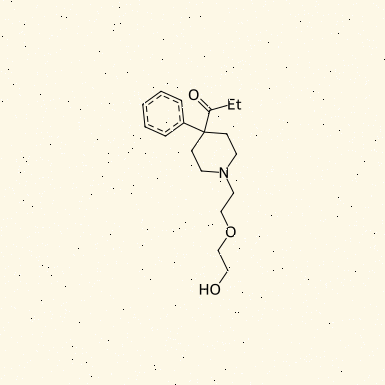 CCC(=O)C1(c2ccccc2)CCN(CCOCCO)CC1